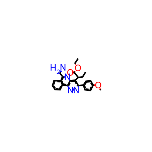 CCOC(=O)C(CC)c1c(-c2ccc(OC)cc2)nnc2c1nc(CN)c1ccccc12